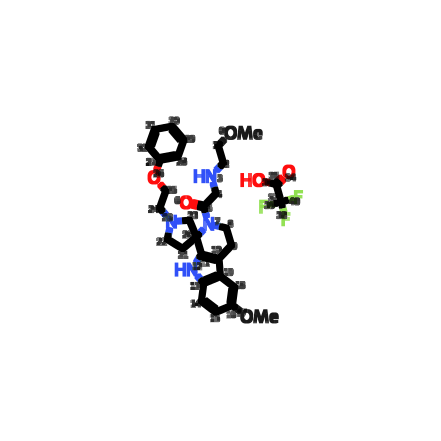 COCCNCC(=O)N1CCc2c([nH]c3ccc(OC)cc23)C12CCN(CCOc1ccccc1)C2.O=C(O)C(F)(F)F